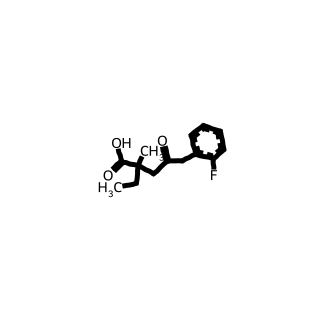 CCC(C)(CC(=O)Cc1ccccc1F)C(=O)O